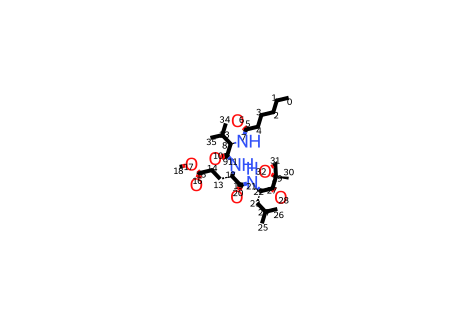 CCCCCC(=O)N[C@H](C(=O)N[C@@H](CCC(=O)OC)C(=O)N[C@@H](CC(C)C)C(=O)[C@@]1(C)CO1)C(C)C